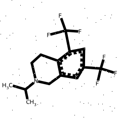 CC(C)N1CCc2c(cc(C(F)(F)F)cc2C(F)(F)F)C1